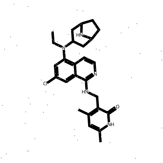 CCN(c1cc(Cl)cc2c(NCc3c(C)cc(C)[nH]c3=O)nccc12)C1CC2CCC(C1)N2